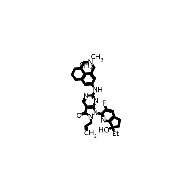 C=CCn1c(=O)c2cnc(Nc3cc4c5c(c3)CN(C)CC5(C)CCC4)nc2n1-c1nc2c(cc1F)CCC2(O)CC